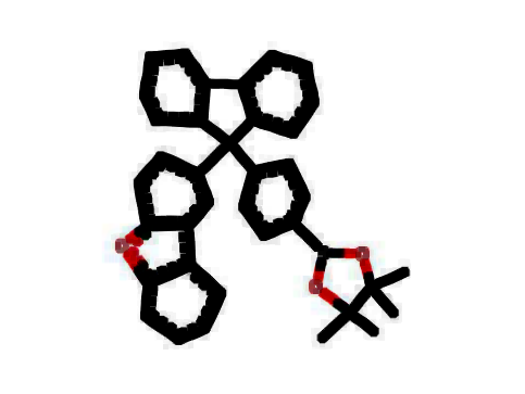 CC1(C)OB(c2ccc(C3(c4ccc5oc6ccccc6c5c4)c4ccccc4-c4ccccc43)cc2)OC1(C)C